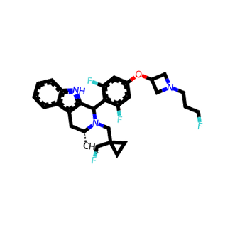 C[C@@H]1Cc2c([nH]c3ccccc23)C(c2c(F)cc(OC3CN(CCCF)C3)cc2F)N1CC1(CF)CC1